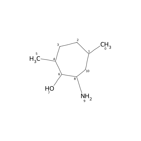 CC1CCC(C)C(O)C(N)C1